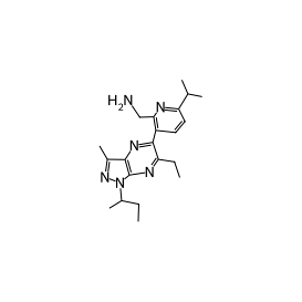 CCc1nc2c(nc1-c1ccc(C(C)C)nc1CN)c(C)nn2C(C)CC